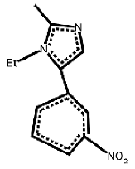 CCn1c(-c2cccc([N+](=O)[O-])c2)cnc1C